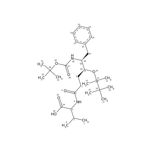 CC(C)C(NC(=O)CC[C@H](O[Si](C)(C)C(C)(C)C)[C@H](Cc1ccccc1)NC(=O)OC(C)(C)C)C(=O)O